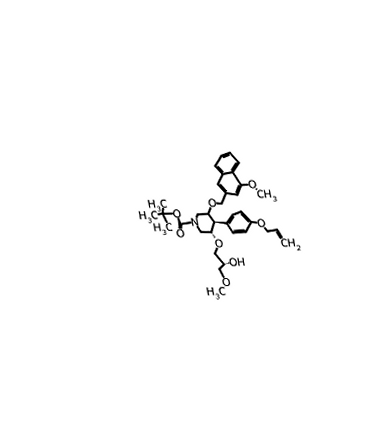 C=CCOc1ccc([C@@H]2C(OCc3cc(OC)c4ccccc4c3)CN(C(=O)OC(C)(C)C)C[C@H]2OC[C@H](O)COC)cc1